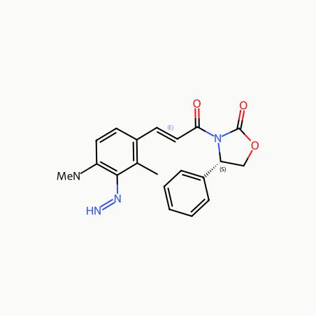 CNc1ccc(/C=C/C(=O)N2C(=O)OC[C@@H]2c2ccccc2)c(C)c1N=N